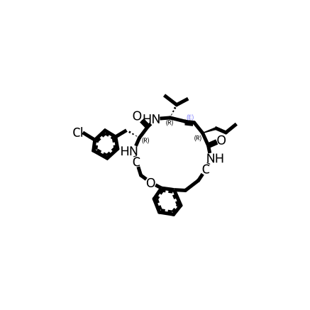 CCC[C@@H]1/C=C/[C@@H](C(C)C)NC(=O)[C@@H](Cc2cccc(Cl)c2)NCCOc2ccccc2CCCNC1=O